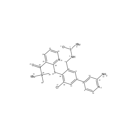 CC(C)(C)[S+]([O-])NCc1cc(-c2ccnc(N)c2)cc(Cl)c1Sc1ncccc1C(=O)[Si](C)(C)C(C)(C)C